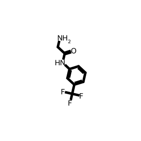 NCC(=O)Nc1cccc(C(F)(F)F)c1